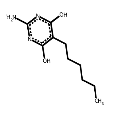 CCCCCCc1c(O)nc(N)nc1O